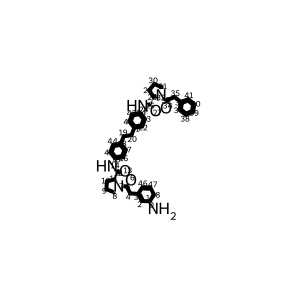 NC1C=C(CC(=O)N2CCC[C@H]2C(=O)Nc2ccc(CCc3ccc(NC(=O)[C@@H]4CCCN4C(=O)Cc4ccccc4)cc3)cc2)C=CC1